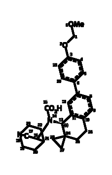 COCOc1ccc(-c2ccc3c(c2)[C@@H](N(C(=O)O)C2CN4CCC2CC4)C2(CC3)CC2)cc1